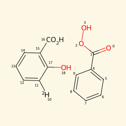 O=C(OO)c1ccccc1.[2H]c1cccc(C(=O)O)c1O